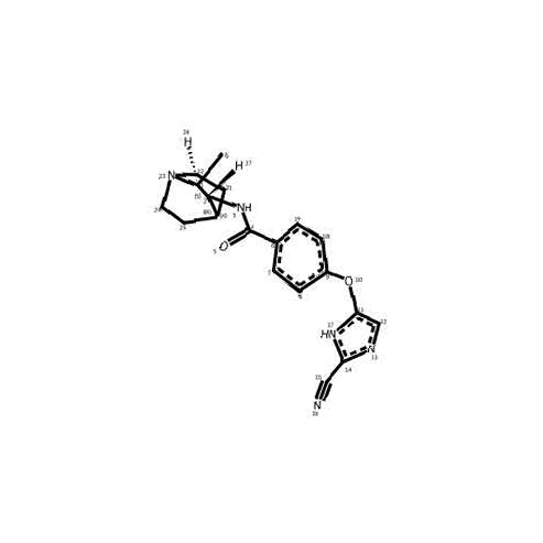 C[C@H]1[C@H](NC(=O)c2ccc(Oc3cnc(C#N)[nH]3)cc2)C2CCN1CC2